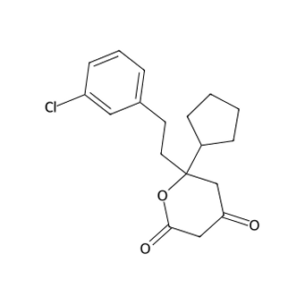 O=C1CC(=O)OC(CCc2cccc(Cl)c2)(C2CCCC2)C1